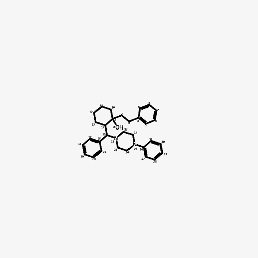 OC1(CCc2ccccc2)CCCCC1C(c1ccccc1)N1CCN(c2ccccc2)CC1